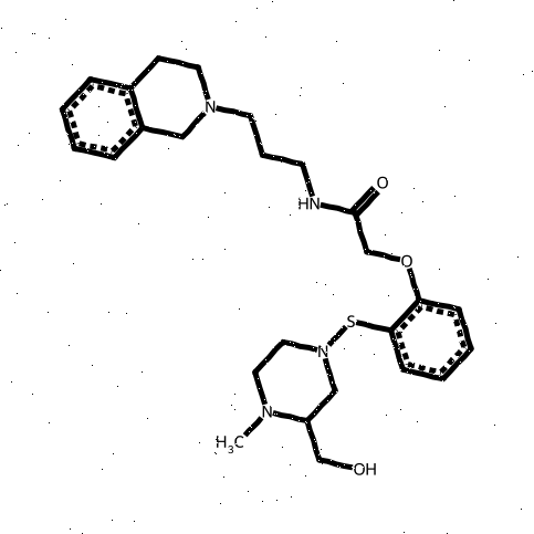 CN1CCN(Sc2ccccc2OCC(=O)NCCCN2CCc3ccccc3C2)CC1CO